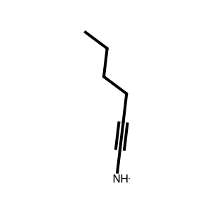 CCCCC#C[NH]